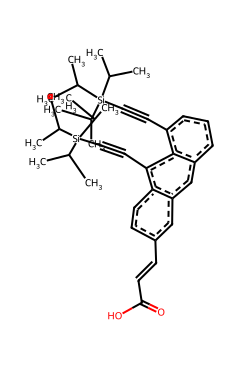 CC(C)[Si](C#Cc1cccc2cc3cc(C=CC(=O)O)ccc3c(C#C[Si](C(C)C)(C(C)C)C(C)C)c12)(C(C)C)C(C)C